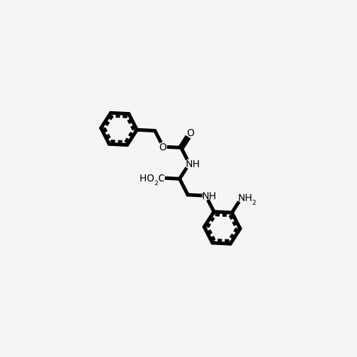 Nc1ccccc1NCC(NC(=O)OCc1ccccc1)C(=O)O